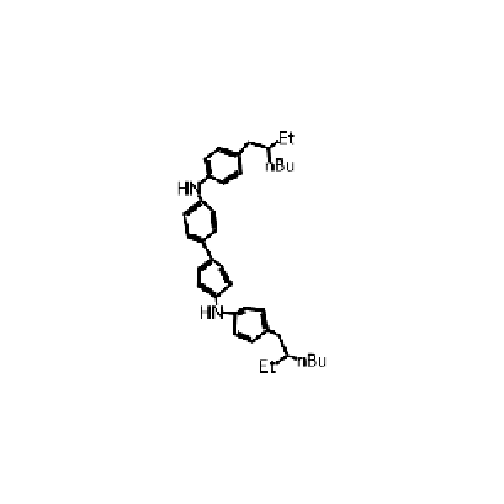 CCCCC(CC)Cc1ccc(Nc2ccc(-c3ccc(Nc4ccc(CC(CC)CCCC)cc4)cc3)cc2)cc1